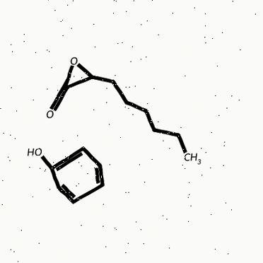 CCCCCCC1OC1=O.Oc1ccccc1